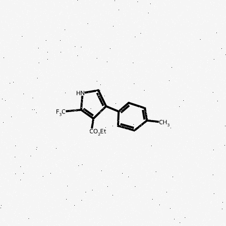 CCOC(=O)c1c(-c2ccc(C)cc2)c[nH]c1C(F)(F)F